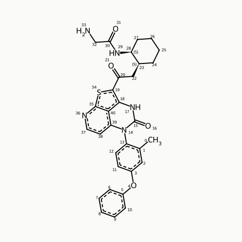 Cc1cc(Oc2ccccc2)ccc1N1C(=O)Nc2c(C(=O)C[C@@H]3CCCC[C@@H]3NC(=O)CN)sc3nccc1c23